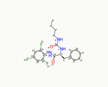 CCCCNC(=O)N[C@@H](Cc1ccccc1)C(=O)Nc1c(F)cc(F)cc1F